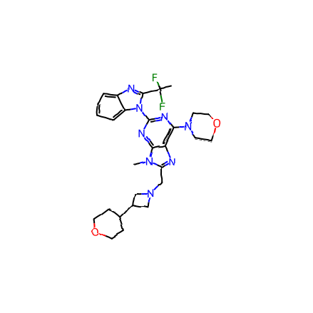 Cn1c(CN2CC(C3CCOCC3)C2)nc2c(N3CCOCC3)nc(-n3c(C(C)(F)F)nc4ccccc43)nc21